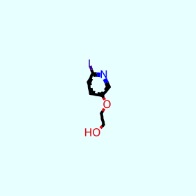 OCCOc1ccc(I)nc1